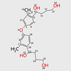 Cc1cc(Oc2ccc(C(O)CCCO)c(C)c2)ccc1C(O)CCCO